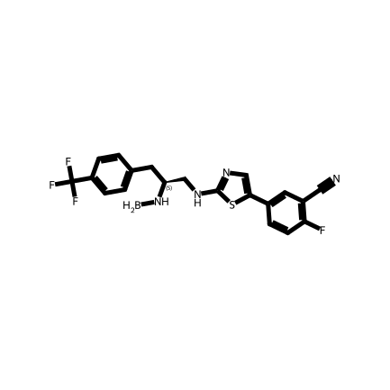 BN[C@H](CNc1ncc(-c2ccc(F)c(C#N)c2)s1)Cc1ccc(C(F)(F)F)cc1